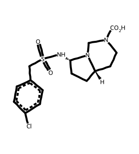 O=C(O)N1CC[C@@H]2CC[C@H](NS(=O)(=O)Cc3ccc(Cl)cc3)N2C1